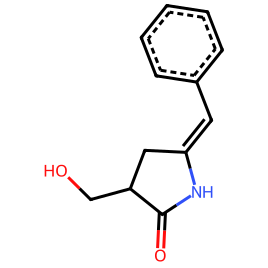 O=C1N/C(=C/c2ccccc2)CC1CO